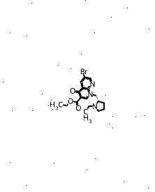 CCOC(=O)c1cn(C[C@@H]2CCCN2CC)c2ncc(Br)cc2c1=O